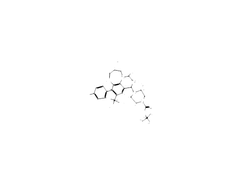 CO[C@H]1CSc2c(-c3ccc(F)cc3)c(C(F)(F)F)cc3c2N(C1)C(O)NC3N1CCN(C(=O)OC(C)(C)C)C[C@@H]1C